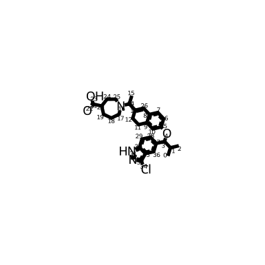 CC(C)C(Oc1ccc2c(c1)CCC(C(C)N1CCCC(C(=O)O)CC1)=C2)c1ccc2[nH]nc(Cl)c2c1